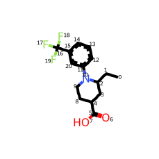 CCC1CC(C(=O)O)CCN1c1cccc(C(F)(F)F)c1